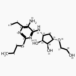 CCCSc1nc(CI)c(N)c(N[C@@H]2C[C@H](OCCO)[C@@H](O)[C@H]2O)n1